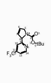 CC(C)(C)OC(=O)N1CC=CC1c1cc(C(F)(F)F)ccn1